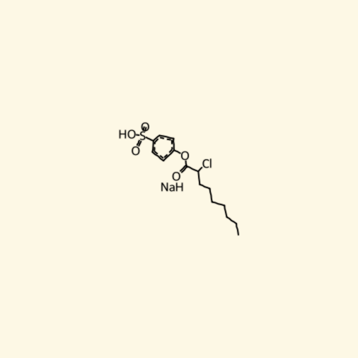 CCCCCCCC(Cl)C(=O)Oc1ccc(S(=O)(=O)O)cc1.[NaH]